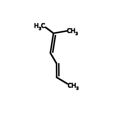 CC=CC=C(C)C